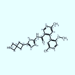 COc1cnc(Cl)cc1-c1cc(C)ncc1C(=O)Nc1nnc(C2CC3(CNC3)C2)s1